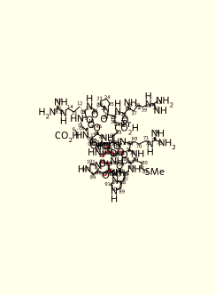 CC[C@H](C)[C@H](NC(=O)[C@H](CC(=O)O)NC(=O)[C@H](CCCNC(=N)N)NC(=O)[C@@H]1CCCN1C(=O)[C@H](CC(C)C)NC(=O)[C@@H](N)CCCNC(=N)N)C(=O)N[C@@H](C)C(=O)N[C@@H](CCC(N)=O)C(=O)N[C@@H](CCC(=O)O)C(=O)N[C@@H](CCCNC(=N)N)C(=O)N[C@@H](CCSC)C(=O)N[C@@H](Cc1c[nH]cn1)C(=O)N[C@@H](Cc1c[nH]cn1)C(=O)N[C@@H](CC(=O)O)C(=O)I